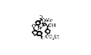 CCOC(=O)[C@H]1CC=C(C(O)[C@@H]2CC[C@H]2CN2C[C@@]3(CCCc4cc(Cl)ccc43)COc3ccc(C(=O)OC)cc32)CC1